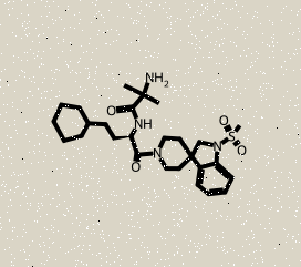 CC(C)(N)C(=O)N[C@H](CCC1CCCCC1)C(=O)N1CCC2(CC1)CN(S(C)(=O)=O)c1ccccc12